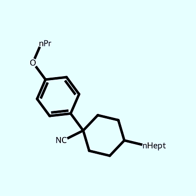 CCCCCCCC1CCC(C#N)(c2ccc(OCCC)cc2)CC1